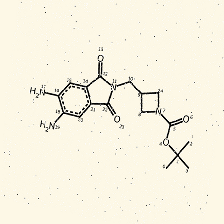 CC(C)(C)OC(=O)N1CC(CN2C(=O)c3cc(N)c(N)cc3C2=O)C1